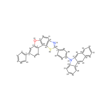 c1ccc(-c2ccc3c(c2)oc2ccc4nc(-c5ccc(-n6c7ccccc7c7cc8ccccc8cc76)cc5)sc4c23)cc1